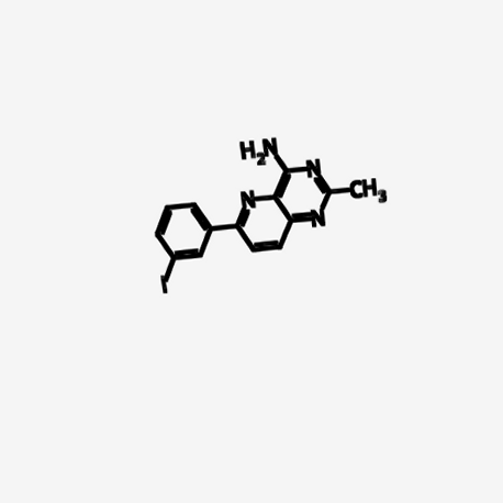 Cc1nc(N)c2nc(-c3cccc(I)c3)ccc2n1